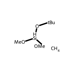 C.CO[SiH](OC)OC(C)(C)C